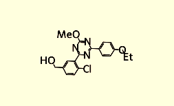 CCOc1ccc(-c2nc(OC)nc(-c3cc(CO)ccc3Cl)n2)cc1